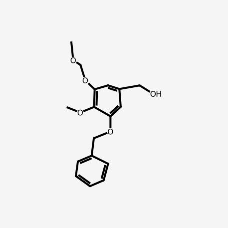 COCOc1cc(CO)cc(OCc2ccccc2)c1OC